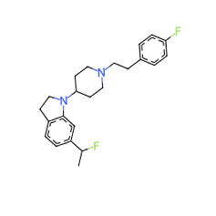 CC(F)c1ccc2c(c1)N(C1CCN(CCc3ccc(F)cc3)CC1)CC2